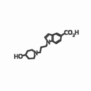 O=C(O)c1ccc2c(ccn2CCCN2CCC(O)CC2)c1